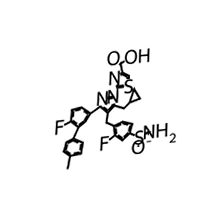 Cc1ccc(-c2cc(-c3nn(-c4nc(C(=O)O)cs4)c(CC4CC4)c3Cc3ccc([S+](N)[O-])cc3F)ccc2F)cc1